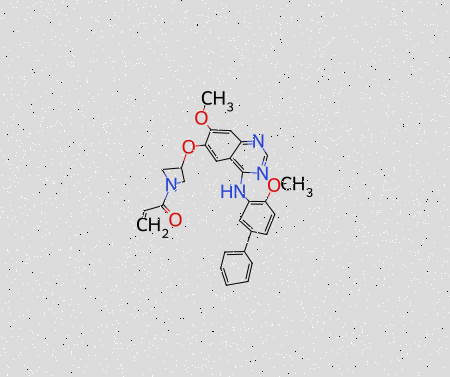 C=CC(=O)N1CC(Oc2cc3c(Nc4cc(-c5ccccc5)ccc4OC)ncnc3cc2OC)C1